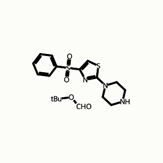 CC(C)(C)OC=O.O=S(=O)(c1ccccc1)c1csc(N2CCNCC2)n1